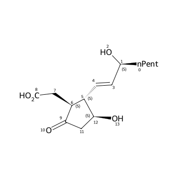 CCCCC[C@H](O)C=C[C@H]1[C@H](CC(=O)O)C(=O)C[C@@H]1O